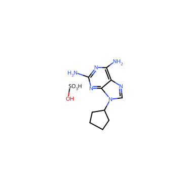 Nc1nc(N)c2ncn(C3CCCC3)c2n1.O=S(=O)(O)O